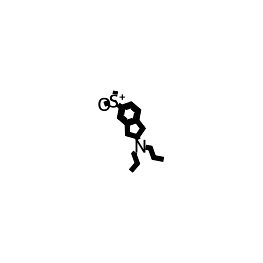 CCCN(CCC)C1Cc2ccc([S+](C)[O-])cc2C1